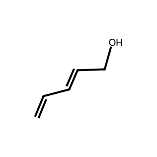 C=CC=CCO